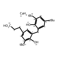 CC(C)(C)c1cc(Cc2cc(CCC(=O)O)cc(C(C)(C)C)c2O)c(O)c(C(C)(C)C)c1.[CaH2]